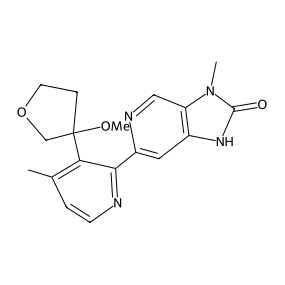 COC1(c2c(C)ccnc2-c2cc3[nH]c(=O)n(C)c3cn2)CCOC1